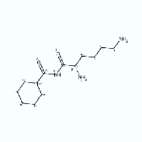 NCCCC[C@H](N)C(=O)NC(=O)N1CCCCC1